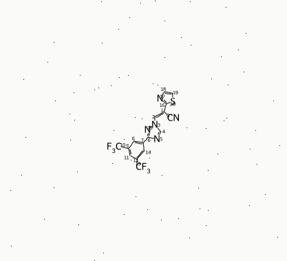 N#C/C(=C\n1cnc(-c2cc(C(F)(F)F)cc(C(F)(F)F)c2)n1)c1nccs1